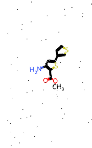 COC(=O)c1sc(-c2ccsc2)cc1N